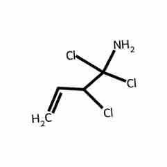 C=CC(Cl)C(N)(Cl)Cl